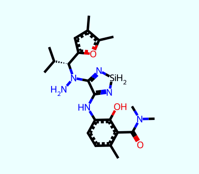 Cc1cc([C@@H](C(C)C)N(N)C2=N[SiH2]N=C2Nc2ccc(C)c(C(=O)N(C)C)c2O)oc1C